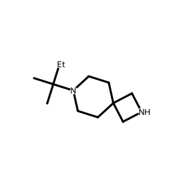 CCC(C)(C)N1CCC2(CC1)CNC2